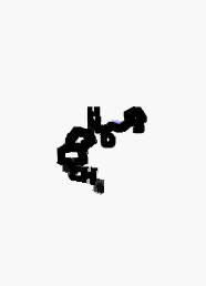 CN1CCc2ccc(NC(=O)/C=C/c3cccs3)cc2C1